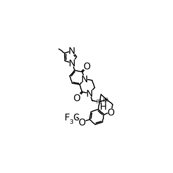 Cc1cn(-c2ccc3n(c2=O)CCN(C[C@@]24C[C@@H]2COc2ccc(OC(F)(F)F)cc24)C3=O)cn1